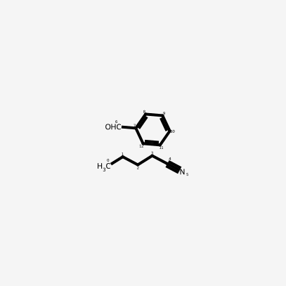 CCCCC#N.O=Cc1ccccc1